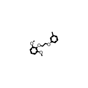 COc1cccc(OC)c1OCCOc1cccc(C)c1